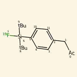 CC(=O)Cc1ccc([Si]([19F])(C(C)(C)C)C(C)(C)C)cc1